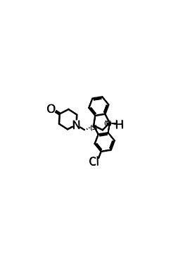 O=C1CCN(C[C@@]23C[C@H](c4ccccc42)c2ccc(Cl)cc23)CC1